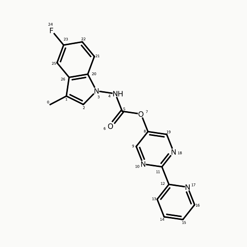 Cc1cn(NC(=O)Oc2cnc(-c3ccccn3)nc2)c2ccc(F)cc12